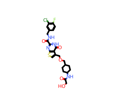 O=C(CO)NC1CCC(COCc2csc3nc(C(=O)NCc4ccc(F)c(Cl)c4)[nH]c(=O)c23)CC1